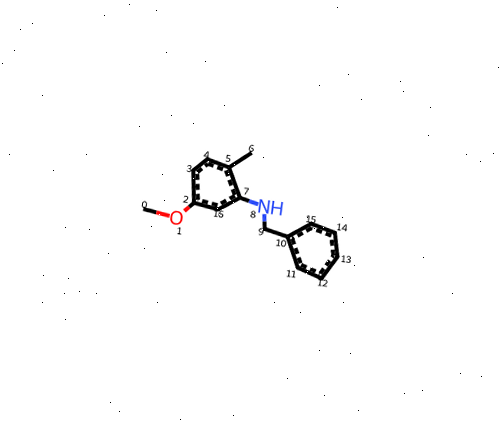 COc1ccc(C)c(NCc2ccccc2)c1